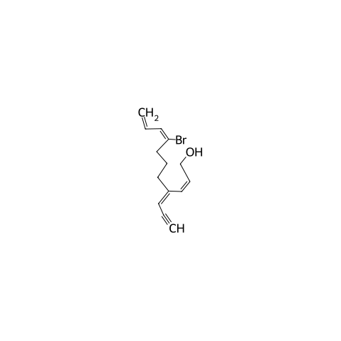 C#C/C=C(\C=C/CO)CCC/C(Br)=C\C=C